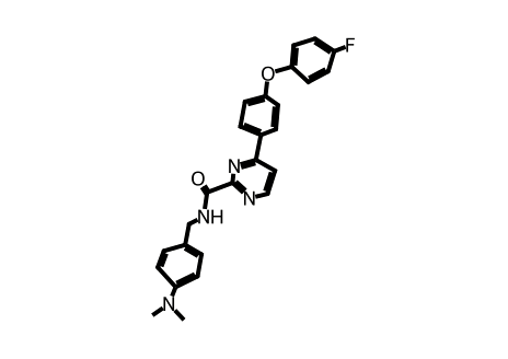 CN(C)c1ccc(CNC(=O)c2nccc(-c3ccc(Oc4ccc(F)cc4)cc3)n2)cc1